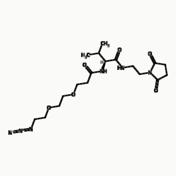 CC(C)[C@H](NC(=O)CCOCCOCCN=[N+]=[N-])C(=O)NCCN1C(=O)CCC1=O